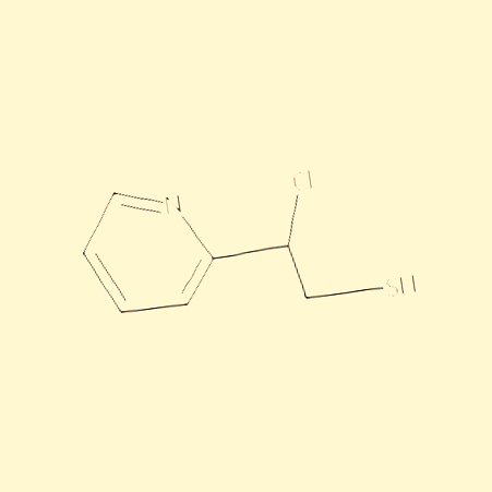 SCC(Cl)c1ccccn1